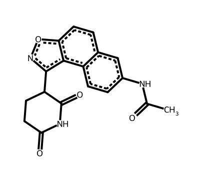 CC(=O)Nc1ccc2c(ccc3onc(C4CCC(=O)NC4=O)c32)c1